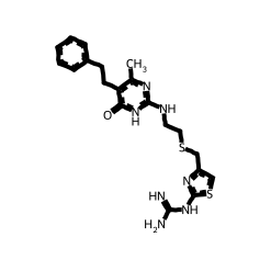 Cc1nc(NCCSCc2csc(NC(=N)N)n2)[nH]c(=O)c1CCc1ccccc1